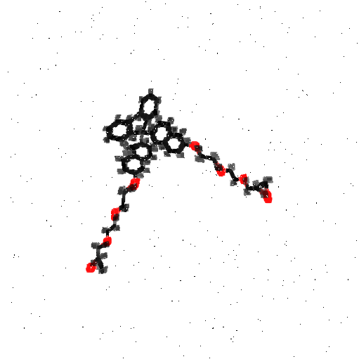 c1ccc2c(c1)-c1ccccc1C2(c1ccc2cc(OCCOCCOCC3CO3)ccc2c1)c1ccc2cc(OCCOCCOCC3CO3)ccc2c1